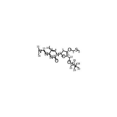 CSCOC1C[C@H](n2cc(I)c(/N=C/N(C)C)nc2=O)O[C@@H]1CO[Si](C)(C)C(C)(C)C